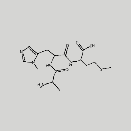 CSCCC(NC(=O)C(Cc1cncn1C)NC(=O)C(C)N)C(=O)O